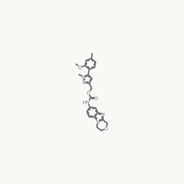 COc1cc(C)ccc1-c1cc(COC(=O)Nc2ccc3c(c2)nc2n3CCOC2)nn1C